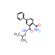 CC(C)CNC(=O)c1cc(-c2ccccc2)ccc1C(N)=O